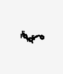 CC1=CN(Cc2ccc(F)c(F)c2)Cc2sc(C#CCc3ccccc3)cc21